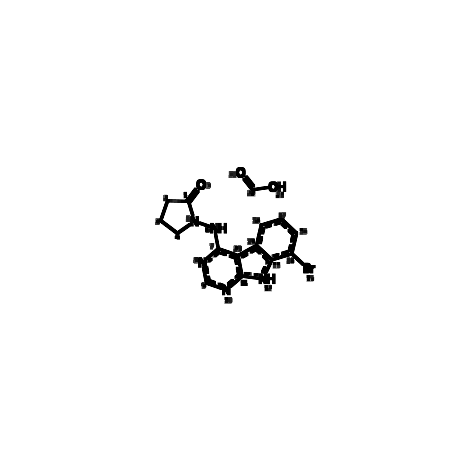 O=C1CCCN1Nc1ncnc2[nH]c3c(Br)cccc3c12.O=CO